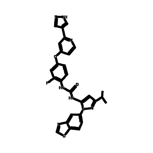 CC(C)c1cc(NC(=O)Nc2ccc(Oc3ccnc(-c4cn[nH]c4)c3)cc2F)n(-c2ccc3ocnc3c2)n1